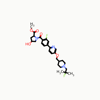 COC(=O)C1CC(O)CN1C(=O)c1ccc(-c2ccc(OCC3CCN(CC(C)(C)F)CC3)cn2)cc1F